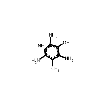 Cc1c(N)cc(N)c(O)c1N.N